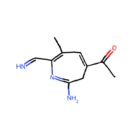 CC(=O)C1=CC(C)=C(C=N)N=C(N)C1